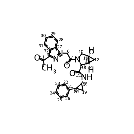 CC(=O)c1nn(CC(=O)N2C[C@H]3C[C@H]3[C@H]2C(=O)N[C@@H]2C[C@H]2c2ccccc2)c2ccccc12